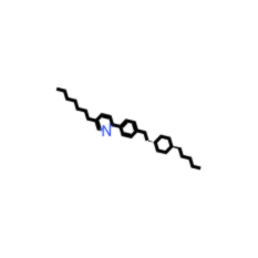 CCCCCCCc1ccc(-c2ccc(CC[C@H]3CC[C@H](CCCCC)CC3)cc2)nc1